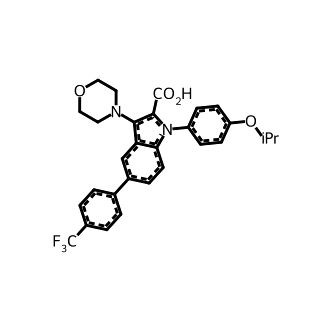 CC(C)Oc1ccc(-n2c(C(=O)O)c(N3CCOCC3)c3cc(-c4ccc(C(F)(F)F)cc4)ccc32)cc1